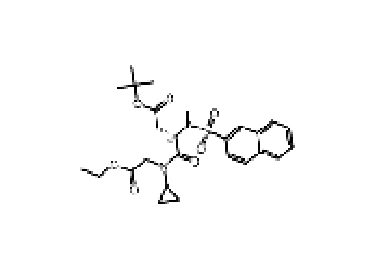 CCOC(=O)CN(C(=O)[C@H](CC(=O)OC(C)(C)C)NS(=O)(=O)c1ccc2ccccc2c1)C1CC1